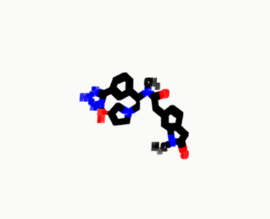 CN1C(=O)Cc2ccc(CC(=O)N(C)[C@H](CN3CC[C@H](O)C3)c3cccc(-c4nn[nH]n4)c3)cc21